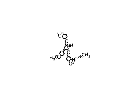 COCCCN1CCOc2ccc(CO[C@H]3CN[C@H](COc4cccc(OC)c4)C[C@@H]3c3ccc(OC)cc3)cc21